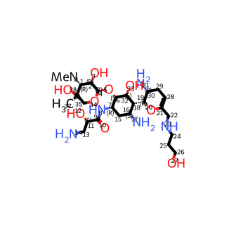 CN[C@@H]1[C@@H](O)[C@@H](O[C@H]2[C@H](NC(=O)[C@@H](O)CN)C[C@H](N)C([C@H]3OC(CNCCCO)=CC[C@H]3N)[C@@H]2O)OC[C@]1(C)O